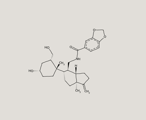 C=C1CC[C@H]2[C@H](CNC(=O)c3ccc4c(c3)OCO4)[C@@H]([C@]3(C)CC[C@H](O)C[C@@H]3CO)CC[C@]12C